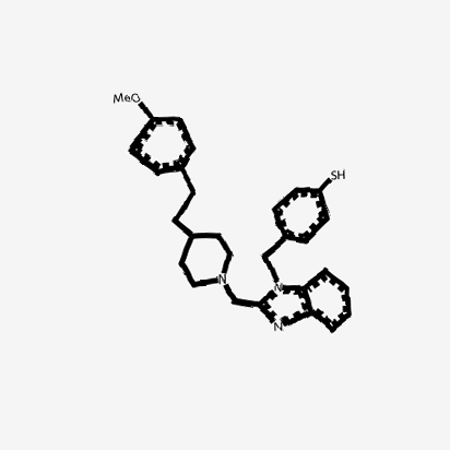 COc1ccc(CCC2CCN(Cc3nc4ccccc4n3Cc3ccc(S)cc3)CC2)cc1